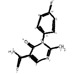 Cc1ncc(C(N)=O)c(=O)n1-c1ccc(F)cc1